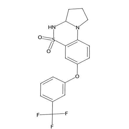 O=S1(=O)NC2CCCN2c2ccc(Oc3cccc(C(F)(F)F)c3)cc21